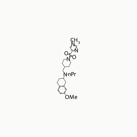 CCCN(CC1CCN(S(=O)(=O)c2cn(C)cn2)CC1)C1CCc2ccc(OC)cc2C1